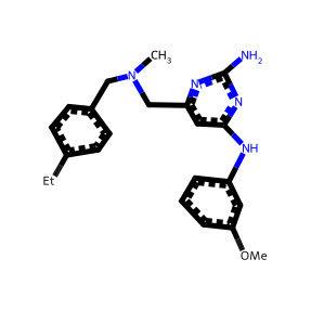 CCc1ccc(CN(C)Cc2cc(Nc3cccc(OC)c3)nc(N)n2)cc1